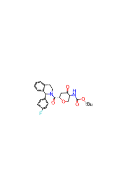 CC(C)(C)OC(=O)N[C@H]1CO[C@H](C(=O)N2CCc3ccccc3[C@@H]2c2ccc(F)cc2)CC1=O